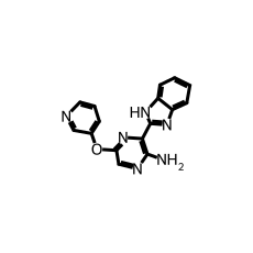 Nc1ncc(Oc2cccnc2)nc1-c1nc2ccccc2[nH]1